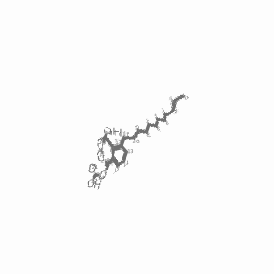 CCCCCCCCCCCCc1cccc(C(=O)OC(=O)O)c1C(=O)O